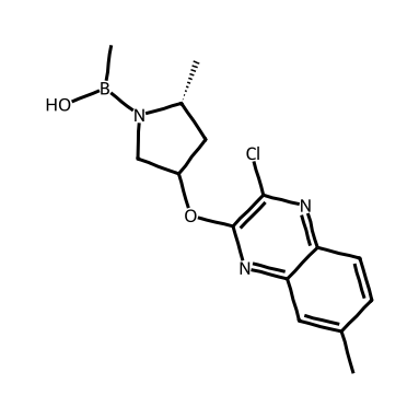 CB(O)N1CC(Oc2nc3cc(C)ccc3nc2Cl)C[C@H]1C